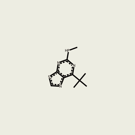 CPc1nc(C(C)(C)C)c2ncsc2n1